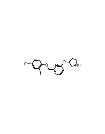 Fc1cc(Cl)ccc1OCc1nccc(OC2CCNC2)n1